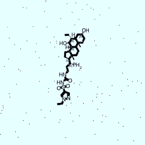 CC[C@H]1[C@@H](O)[C@H]2C3CC[C@H]([C@H](P)CCNC(=O)NS(=O)(=O)c4cnn(CC)c4)[C@@]3(C)CCC2[C@@]2(C)CC[C@@H](O)C[C@@H]12